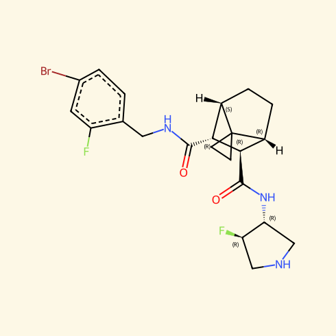 O=C(N[C@@H]1CNC[C@H]1F)[C@H]1[C@H](C(=O)NCc2ccc(Br)cc2F)[C@@H]2CC[C@H]1C21CC1